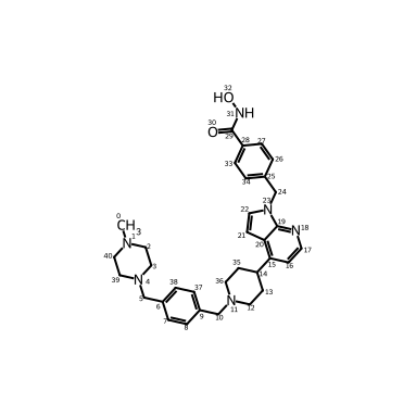 CN1CCN(Cc2ccc(CN3CCC(c4ccnc5c4ccn5Cc4ccc(C(=O)NO)cc4)CC3)cc2)CC1